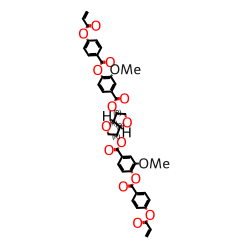 C=CC(=O)Oc1ccc(C(=O)Oc2ccc(C(=O)O[C@@H]3CO[C@H]4[C@@H]3OC[C@H]4OC(=O)c3ccc(OC(=O)c4ccc(OC(=O)C=C)cc4)c(OC)c3)cc2OC)cc1